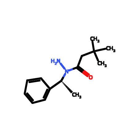 C[C@H](c1ccccc1)N(N)C(=O)CC(C)(C)C